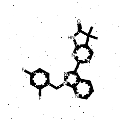 CC1(C)C(=O)Nc2nc(-c3nn(Cc4ccc(F)cc4F)c4ncccc34)ncc21